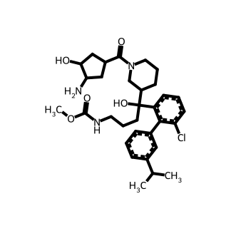 COC(=O)NCCCC(O)(c1cccc(Cl)c1-c1cccc(C(C)C)c1)C1CCCN(C(=O)C2CC(N)C(O)C2)C1